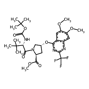 COC(=O)[C@@H]1C[C@@H](Oc2nc(C(F)(F)F)nc3cc(OC)c(OC)cc23)CN1C(=O)[C@@H](NC(=O)OC(C)(C)C)C(C)(C)C